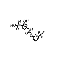 O=C(O)NC12CCC(NC(=O)COc3cccc(C(F)(F)F)n3)(CC1)CC2O